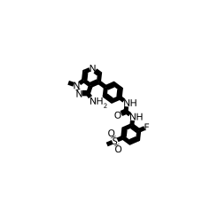 Cn1nc(N)c2c(-c3ccc(NC(=O)Nc4cc(S(C)(=O)=O)ccc4F)cc3)cncc21